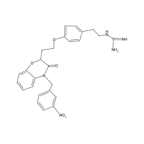 N=C(N)NCCc1ccc(OCCC2Oc3ccccc3N(Cc3cccc([N+](=O)[O-])c3)C2=O)cc1